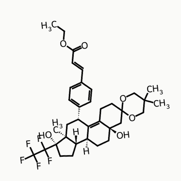 CCOC(=O)/C=C/c1ccc([C@H]2C[C@@]3(C)[C@@H](CC[C@@]3(O)C(F)(F)C(F)(F)F)[C@@H]3CC[C@@]4(O)CC5(CCC4=C32)OCC(C)(C)CO5)cc1